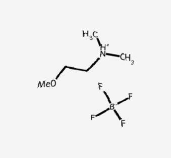 COCC[NH+](C)C.F[B-](F)(F)F